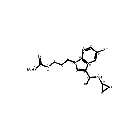 COC(=O)NCCCn1cc(C(C)NC2CC2)c2cc(F)cnc21